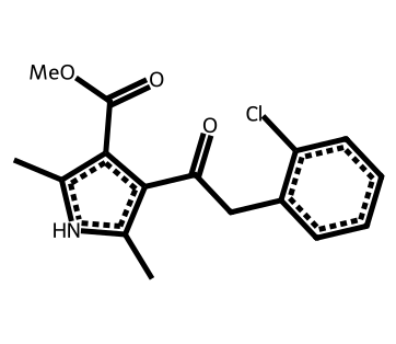 COC(=O)c1c(C)[nH]c(C)c1C(=O)Cc1ccccc1Cl